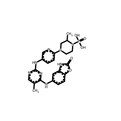 Cc1cnc(Nc2ccc(N3CCN(P(=O)(O)O)C(C)C3)nc2)nc1Nc1ccc2oc(=O)[nH]c2c1